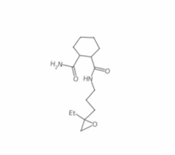 CCC1(CCCNC(=O)C2CCCCC2C(N)=O)CO1